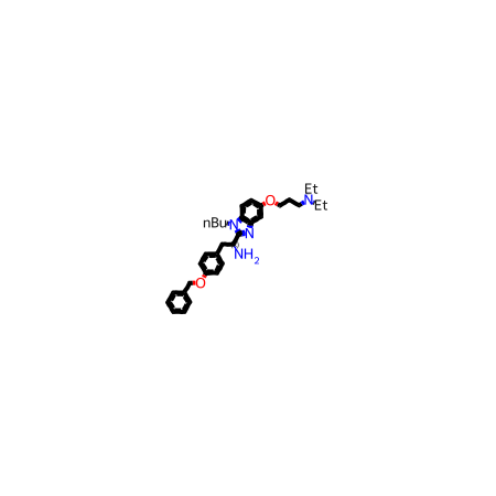 CCCCn1c([C@H](N)Cc2ccc(OCc3ccccc3)cc2)nc2cc(OCCCN(CC)CC)ccc21